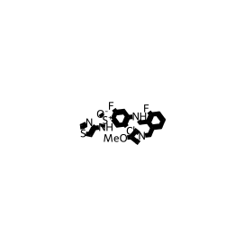 COC1CN(Cc2cccc(F)c2CNc2cc(F)c([S+]([O-])Nc3cscn3)cc2Cl)C1